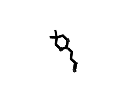 CC1(C)COP(CC[C]=O)OC1